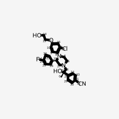 C[C@@](O)(CN1CCN(c2ccc(OCCO)cc2Cl)[C@H](c2ccc(F)cc2)C1)c1ccc(C#N)cc1